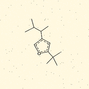 CC(C)C(C)c1coc(C(C)(C)C)c1